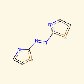 c1csc(N=Nc2nccs2)n1